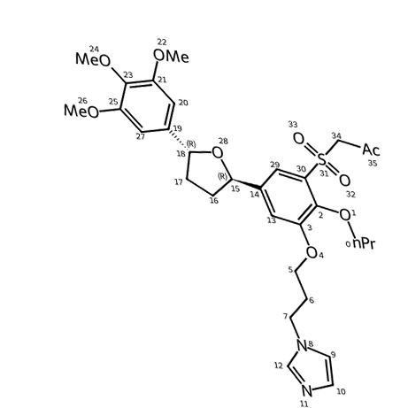 CCCOc1c(OCCCn2ccnc2)cc([C@H]2CC[C@H](c3cc(OC)c(OC)c(OC)c3)O2)cc1S(=O)(=O)CC(C)=O